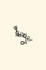 Cc1ncc(N(CCN(C)C2CCCCC2)C(=O)O)cc1NC(=O)c1cnn2cc(-c3cnn(C)c3)sc12